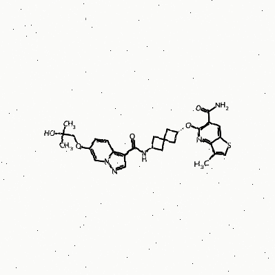 Cc1csc2cc(C(N)=O)c(O[C@H]3CC4(C[C@H](NC(=O)c5cnn6cc(OCC(C)(C)O)ccc56)C4)C3)nc12